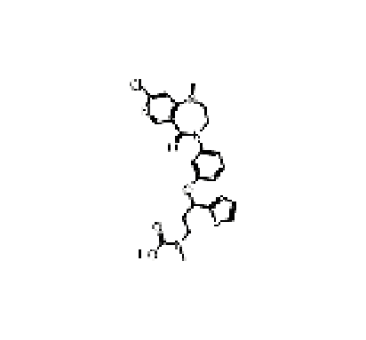 CN(CCC(Oc1cccc(N2CCN(C)c3cc(Cl)ncc3C2=O)c1)c1cccs1)C(=O)O